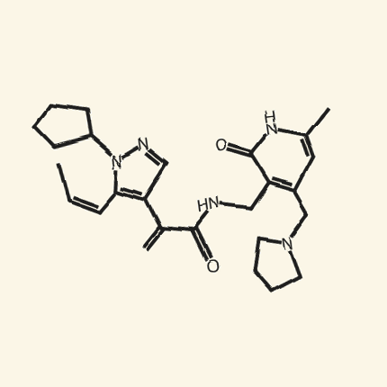 C=C(C(=O)NCc1c(CN2CCCC2)cc(C)[nH]c1=O)c1cnn(C2CCCC2)c1/C=C\C